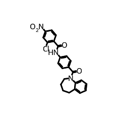 O=C(Nc1ccc(C(=O)N2CCCCc3ccccc32)cc1)c1ccc([N+](=O)[O-])cc1Cl